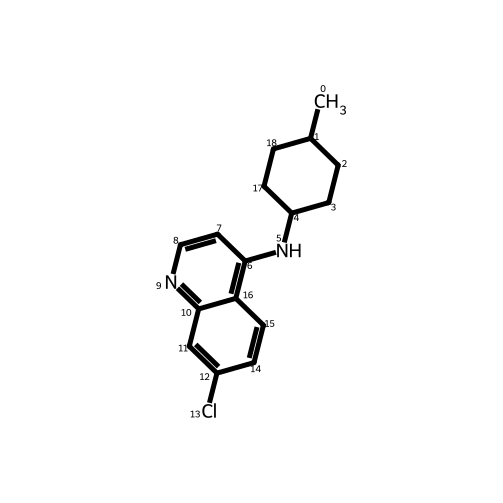 CC1CCC(Nc2ccnc3cc(Cl)ccc23)CC1